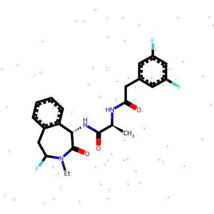 CCN1C(=O)[C@@H](NC(=O)[C@H](C)NC(=O)Cc2cc(F)cc(F)c2)c2ccccc2CC1F